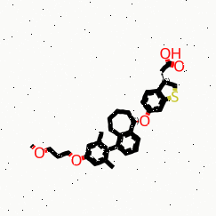 COCCCOc1cc(C)c(-c2cccc3c2CCCC[C@@H]3Oc2ccc3c(c2)SC[C@H]3CC(=O)O)c(C)c1